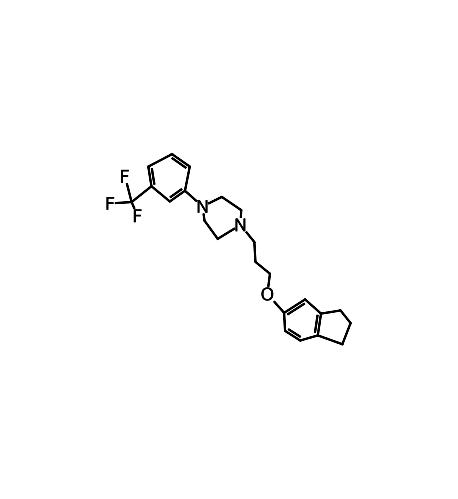 FC(F)(F)c1cccc(N2CCN(CCCOc3ccc4c(c3)CCC4)CC2)c1